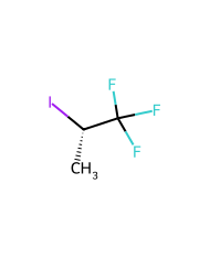 C[C@H](I)C(F)(F)F